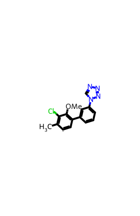 COc1c(-c2cccc(-n3cnnn3)c2)c[c]c(C)c1Cl